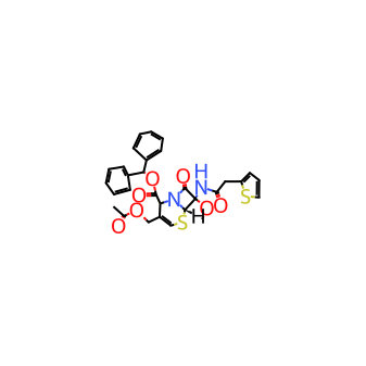 COC1(NC(=O)Cc2cccs2)C(=O)N2C(C(=O)OC(c3ccccc3)c3ccccc3)C(COC(C)=O)=CS[C@H]21